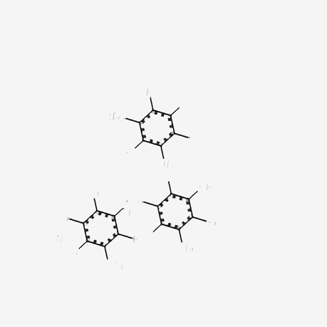 CCc1c(C)c(CC)c(C(C)(C)C)c([O-])c1C(C)(C)C.CCc1c(C)c(CC)c(C(C)(C)C)c([O-])c1C(C)(C)C.CCc1c(C)c(CC)c(C(C)(C)C)c([O-])c1C(C)(C)C.[Al+3]